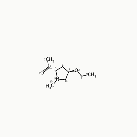 CCO[C@@H]1C[C@@H](C(C)=O)N(C)C1